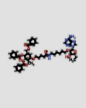 CC[C@H]1O[C@@H](n2cnc3c(N)ncnc32)[C@@H](OCCCCCCNC(=O)CCCCO[C@@H]2C[C@H](COC(=O)c3ccccc3)[C@H](OC(=O)c3ccccc3)[C@H](OC(=O)c3ccccc3)[C@H]2C)C1O